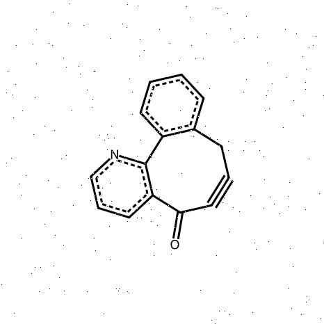 O=C1C#CCc2ccccc2-c2ncccc21